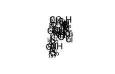 CC(C)(C)c1cc(NC(=O)C(Cc2ccc(NC(=O)N3CCCCC3)cc2)NC(=O)C(=O)Nc2cc(Cl)ccc2-n2cnnn2)ccc1C(=O)O